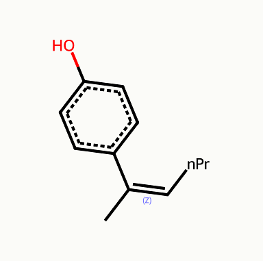 CCC/C=C(/C)c1ccc(O)cc1